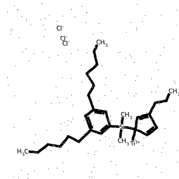 CCCCCCc1cc(CCCCCC)cc([Si](C)(C)[C]2([Ti+3])C=CC(CCC)=C2)c1.[Cl-].[Cl-].[Cl-]